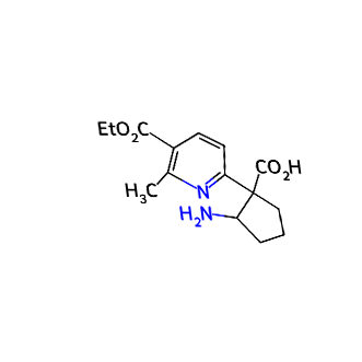 CCOC(=O)c1ccc(C2(C(=O)O)CCCC2N)nc1C